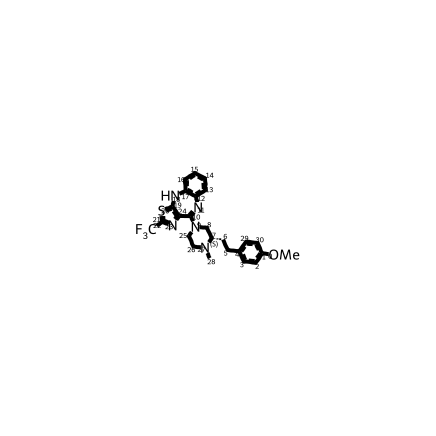 COc1ccc(CC[C@H]2CN(C3=Nc4ccccc4Nc4sc(C(F)(F)F)nc43)CCN2C)cc1